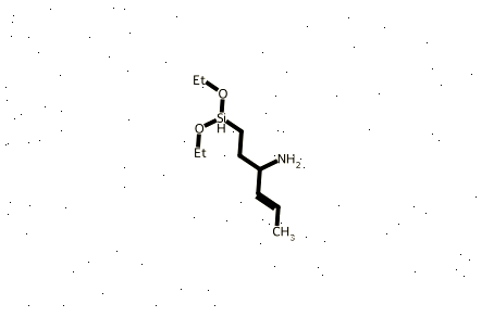 CC=CC(N)CC[SiH](OCC)OCC